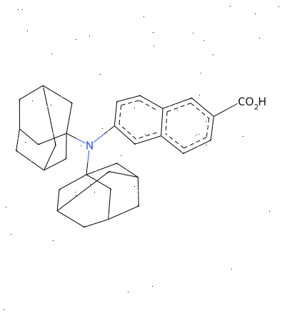 O=C(O)c1ccc2cc(N(C34CC5CC(CC(C5)C3)C4)C34CC5CC(CC(C5)C3)C4)ccc2c1